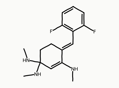 CNC1=CC(NC)(NC)CCC1=Cc1c(F)cccc1F